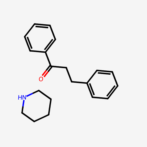 C1CCNCC1.O=C(CCc1ccccc1)c1ccccc1